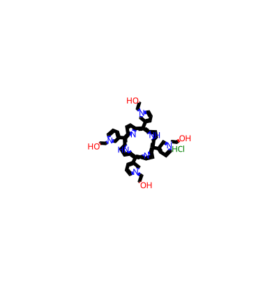 Cl.OCCN1C=CC=C(c2c3nc(c(C4=CC=CN(CCO)C4)c4ccc([nH]4)c(C4=CC=CN(CCO)C4)c4nc(c(C5=CC=CN(CCO)C5)c5ccc2[nH]5)C=C4)C=C3)C1